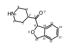 O=C(C1[CH]CNCC1)C1OCc2ccccc21